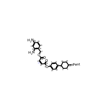 CCCCCC1CCC(c2ccc(OC(=O)/C=C\C(=O)OCc3ccc(N)cc3N)cc2)CC1